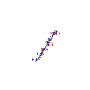 CC(=O)N(O)CCCCCNC(=O)CCC(=O)N(O)CCCCCNC(=O)CCC(=O)NCCCCCN